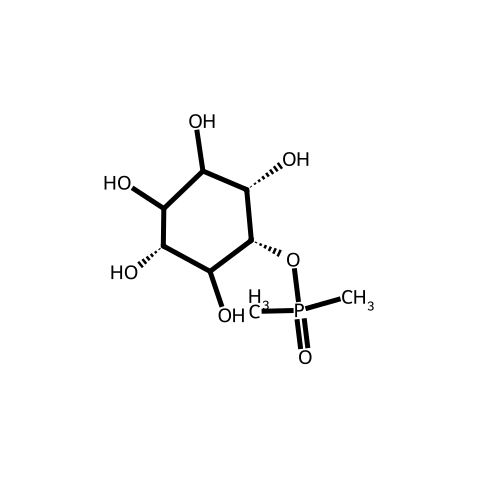 CP(C)(=O)O[C@@H]1C(O)[C@H](O)C(O)C(O)[C@@H]1O